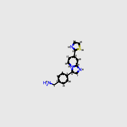 NCc1ccc(-c2cnc3cc(-c4nccs4)ccn23)cc1